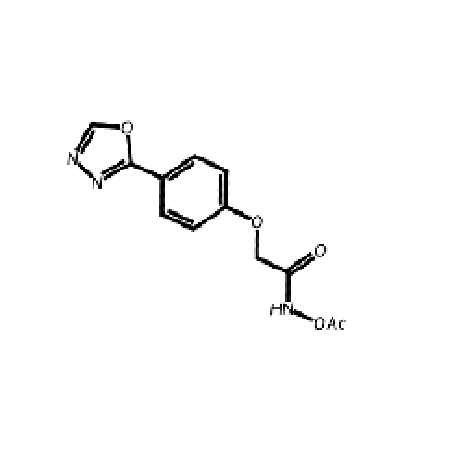 CC(=O)ONC(=O)COc1ccc(-c2nnco2)cc1